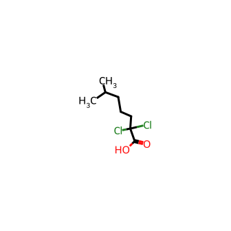 CC(C)CCCC(Cl)(Cl)C(=O)O